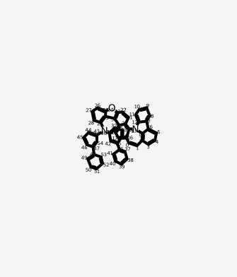 C1=Cc2cccc3c4ccccc4n(c23)-c2c1ccc1c2ccc2oc3cccc(N(c4cccc(-c5ccccc5)c4)c4cccc(-c5ccccc5)c4)c3c21